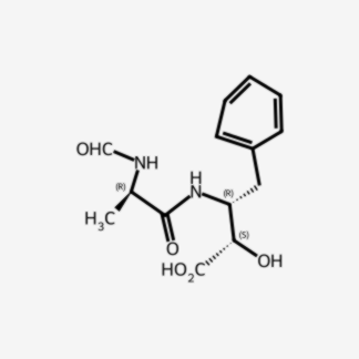 C[C@@H](NC=O)C(=O)N[C@H](Cc1ccccc1)[C@H](O)C(=O)O